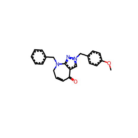 COc1ccc(Cn2cc3c(n2)N(Cc2ccccc2)CC=CC3=O)cc1